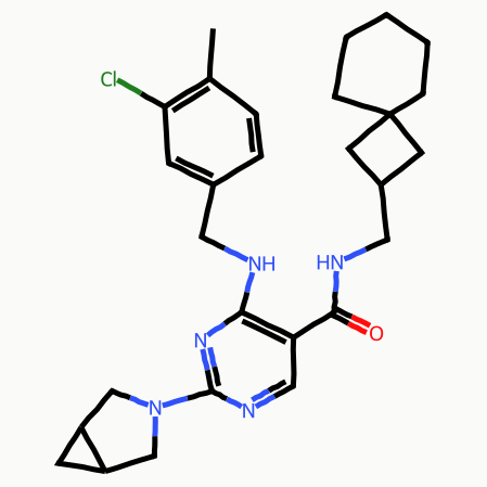 Cc1ccc(CNc2nc(N3CC4CC4C3)ncc2C(=O)NCC2CC3(CCCCC3)C2)cc1Cl